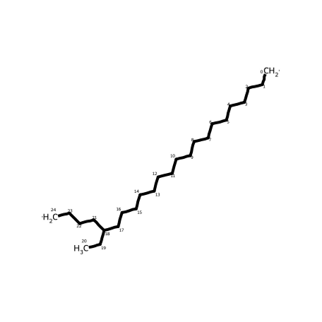 [CH2]CCCCCCCCCCCCCCCCCC(CC)CCC[CH2]